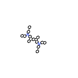 c1ccc(-c2ccc(N(c3ccc4ccccc4c3)c3ccc4c(c3)c3ccccc3c3cc5c6ccc(N(c7ccc(-c8ccccc8)cc7)c7ccc8ccccc8c7)cc6c6ccccc6c5cc43)cc2)cc1